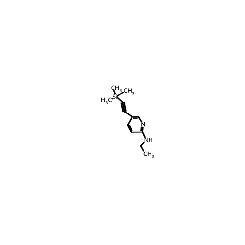 CCNc1ccc(C#C[Si](C)(C)C)cn1